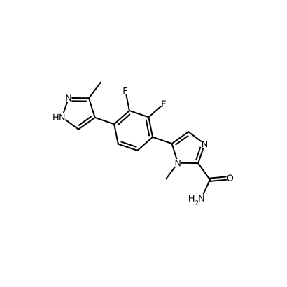 Cc1n[nH]cc1-c1ccc(-c2cnc(C(N)=O)n2C)c(F)c1F